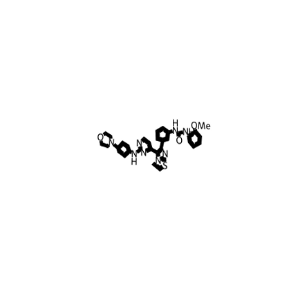 COc1ccccc1NC(=O)Nc1cccc(-c2nc3sccn3c2-c2ccnc(Nc3ccc(N4CCOCC4)cc3)n2)c1